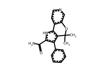 CC1(C)Oc2cnccc2-c2[nH]c(C(N)=O)c(-c3ccccc3)c21